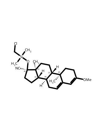 COC1=CC2=CC[C@@H]3[C@H](CC[C@@]4(C)[C@H]3CC[C@@]4(C#N)O[Si](C)(C)CCl)[C@@]2(C)CC1